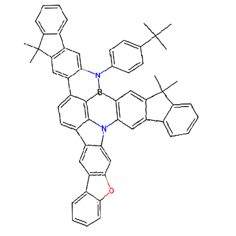 CC(C)(C)c1ccc(N2B3c4cc5c(cc4-n4c6cc7oc8ccccc8c7cc6c6ccc(c3c64)-c3cc4c(cc32)-c2ccccc2C4(C)C)-c2ccccc2C5(C)C)cc1